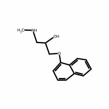 CNCC(O)COc1cccc2ccccc12